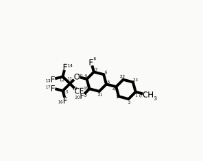 CC1CCC(C2CC(F)C(OC(C(F)F)(C(F)F)C(F)(F)F)C(F)C2)CC1